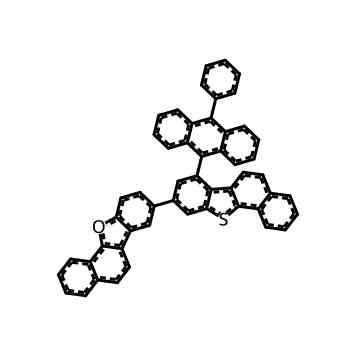 c1ccc(-c2c3ccccc3c(-c3cc(-c4ccc5oc6c7ccccc7ccc6c5c4)cc4sc5c6ccccc6ccc5c34)c3ccccc23)cc1